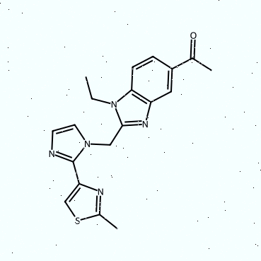 CCn1c(Cn2ccnc2-c2csc(C)n2)nc2cc(C(C)=O)ccc21